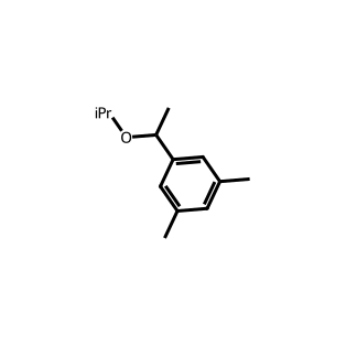 Cc1cc(C)cc(C(C)OC(C)C)c1